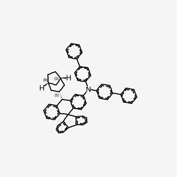 c1ccc(-c2ccc(N(c3ccc(-c4ccccc4)cc3)c3ccc4c(c3)C([C@@H]3C[C@@H]5CC[C@@H](C5)C3)c3ccccc3C43c4ccccc4-c4ccccc43)cc2)cc1